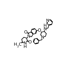 C=C1CCC(N2Cc3cc(OC4CN(Cc5ccccc5)CCC4NCc4cccnc4)ccc3C2=O)C(=O)N1